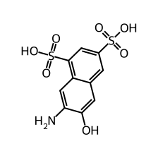 Nc1cc2c(S(=O)(=O)O)cc(S(=O)(=O)O)cc2cc1O